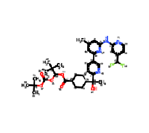 Cc1cc(Nc2cc(C(F)F)ccn2)nc(-c2ccc([C@](C)(O)[C@H]3CC[C@H](C(=O)OC(OC(=O)OC(C)(C)C)C(C)(C)C)CC3)nc2)c1